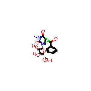 O=C(Cl)c1ccccc1.O=c1ccn([C@@H]2O[C@H](CO)[C@@H](O)[C@H]2O)c(=O)[nH]1